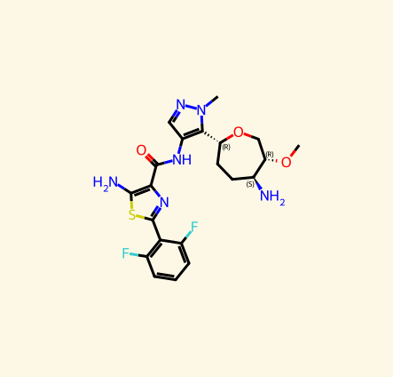 CO[C@H]1CO[C@@H](c2c(NC(=O)c3nc(-c4c(F)cccc4F)sc3N)cnn2C)CC[C@@H]1N